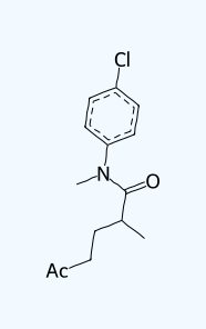 CC(=O)CCC(C)C(=O)N(C)c1ccc(Cl)cc1